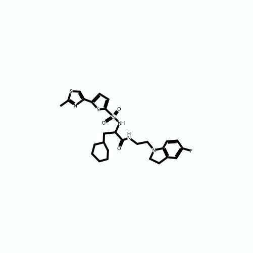 Cc1nc(-c2ccc(S(=O)(=O)NC(CC3CCCCC3)C(=O)NCCN3CCc4cc(F)ccc43)s2)cs1